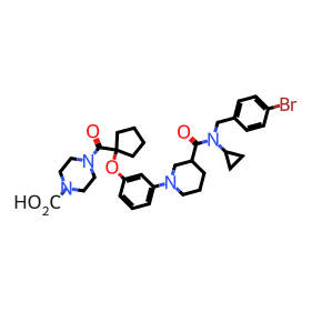 O=C(O)N1CCN(C(=O)C2(Oc3cccc(N4CCCC(C(=O)N(Cc5ccc(Br)cc5)C5CC5)C4)c3)CCCC2)CC1